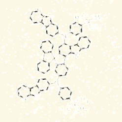 C[Si](C)(C)c1ccc(N(c2ccc3c(c2)C2(c4ccccc4-c4ccccc42)c2cc(N(c4ccc([Si](C)(C)C)cc4)c4ccc5c(c4)oc4ncccc45)c4c(oc5ccccc54)c2-3)c2ccc3c(c2)oc2ncccc23)cc1